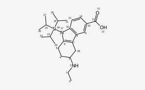 CCNC1CCc2c(c3cc(C(=O)O)ccc3n2[Si](C(C)C)(C(C)C)C(C)C)C1